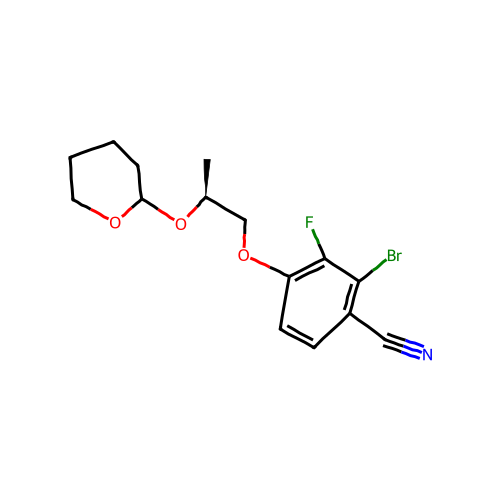 C[C@@H](COc1ccc(C#N)c(Br)c1F)OC1CCCCO1